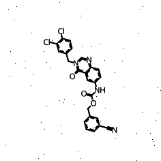 N#Cc1cccc(COC(=O)Nc2ccc3ncn(Cc4ccc(Cl)c(Cl)c4)c(=O)c3c2)c1